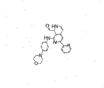 O=CC1NC=Cc2cc(-c3ccccn3)nc(Nc3ccc(N4CCOCC4)cc3)c21